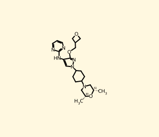 C[C@@H]1CN(C2CCC(n3cc(Nc4ncccn4)c(OCC4COC4)n3)CC2)C[C@H](C)O1